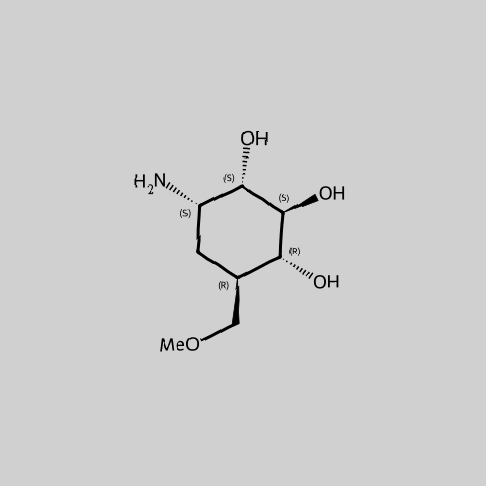 COC[C@H]1C[C@H](N)[C@H](O)[C@@H](O)[C@@H]1O